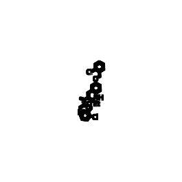 CCC1(OCc2ccccc2Cl)Nc2ccc(OCc3ccccc3Cl)cc2C=C1N(C)C(=O)CN